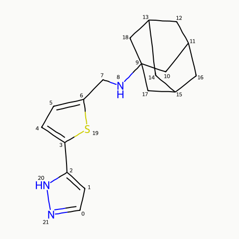 c1cc(-c2ccc(CNC34CC5CC(CC(C5)C3)C4)s2)[nH]n1